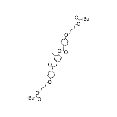 CCC(C)C(=O)OCCCCOc1ccc(C(=O)Cc2ccc(OC(=O)c3ccc(OCCCCOC(=O)C(C)CC)cc3)c(C)c2)cc1